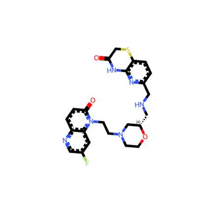 O=C1CSc2ccc(CNC[C@H]3CN(CCn4c(=O)ccc5ncc(F)cc54)CCO3)nc2N1